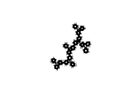 c1ccc(-n2c3ccccc3c3cc(-c4ccc5c(c4)c4cc(-c6ccc7c(c6)c6ccc(-c8ccc9c%10cc(-c%11ccc%12c(c%11)c%11ccccc%11n%12-c%11ccccc%11)ccc%10n(-c%10ccc%11c(c%10)c%10ccccc%10n%11-c%10ccccc%10)c9c8)cc6n7-c6ccccc6)ccc4n5-c4ccccc4)ccc32)cc1